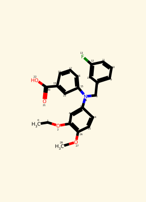 CCOc1cc(N(Cc2cccc(F)c2)c2cccc(C(=O)O)c2)ccc1OC